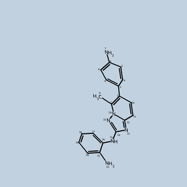 Cc1c(-c2ccc(N)cc2)ccc2nc(Nc3ccccc3N)nn12